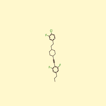 CCCc1cc(F)c(C#CC2CCC(CCc3ccc(Cl)c(F)c3)CC2)c(F)c1